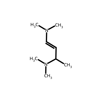 CC(C=CN(C)C)N(C)C